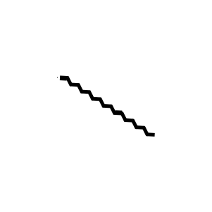 [CH]=CCCCCCCCCC=CCCCCCC